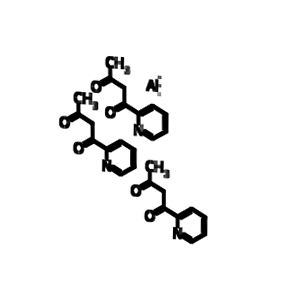 CC(=O)CC(=O)c1ccccn1.CC(=O)CC(=O)c1ccccn1.CC(=O)CC(=O)c1ccccn1.[Al]